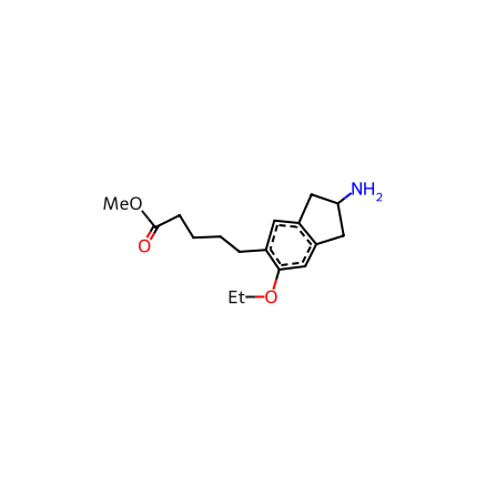 CCOc1cc2c(cc1CCCCC(=O)OC)CC(N)C2